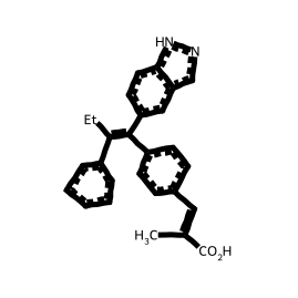 CC/C(=C(/c1ccc(C=C(C)C(=O)O)cc1)c1ccc2[nH]ncc2c1)c1ccccc1